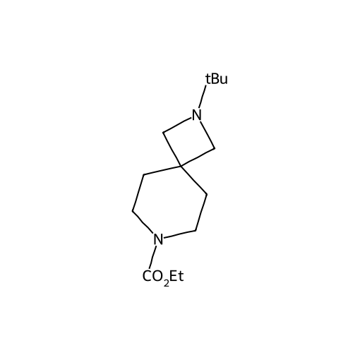 CCOC(=O)N1CCC2(CC1)CN(C(C)(C)C)C2